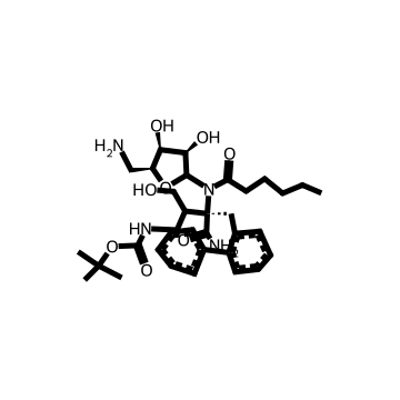 CCCCCC(=O)N(C1O[C@@H](CN)[C@@H](O)[C@H]1O)[C@@](Cc1ccccc1-c1ccccc1)(C(N)=O)C(CO)CNC(=O)OC(C)(C)C